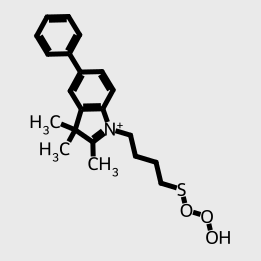 CC1=[N+](CCCCSOOO)c2ccc(-c3ccccc3)cc2C1(C)C